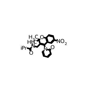 CC(C)C(=O)NCC1=C(n2ccccc2=O)c2cc([N+](=O)[O-])ccc2OC1(C)C